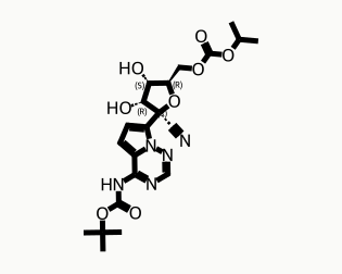 CC(C)OC(=O)OC[C@H]1O[C@@](C#N)(c2ccc3c(NC(=O)OC(C)(C)C)ncnn23)[C@H](O)[C@@H]1O